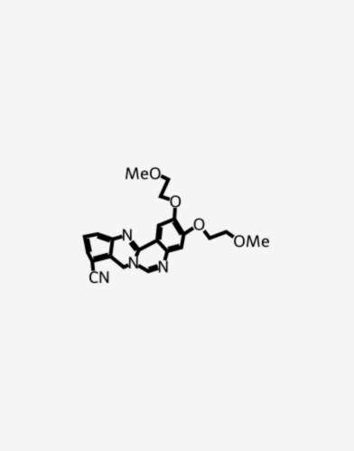 COCCOc1cc2c(cc1OCCOC)C1=Nc3cccc(C#N)c3CN1C=N2